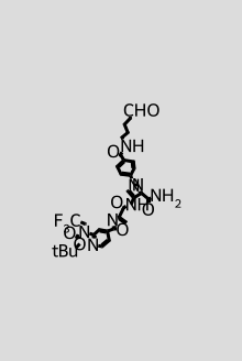 CC(C)(C)OC(=O)N(CC(F)(F)F)c1cc(-c2nc(C(=O)Nc3cn(-c4ccc(C(=O)NCCCCC=O)cc4)nc3C(N)=O)co2)ccn1